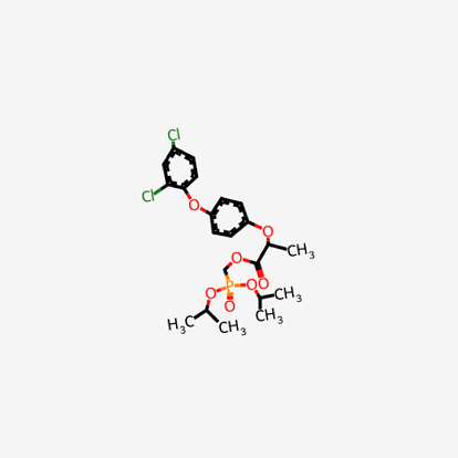 CC(C)OP(=O)(COC(=O)C(C)Oc1ccc(Oc2ccc(Cl)cc2Cl)cc1)OC(C)C